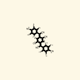 [C-]#[N+]c1c(F)c(=C(C#N)c2c(F)c(F)c(C#N)c(F)c2F)c(C#N)c(F)c1=C(C#N)c1c(F)c(F)c(C#N)c(F)c1F